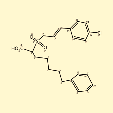 O=C(O)C(CCCCCc1ccccc1)S(=O)(=O)CC=Cc1ccc(Cl)cc1